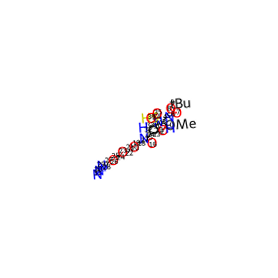 COC(=O)C(CNC(=O)OC(C)(C)C)N(c1ccc(C(=O)NCCOCCOCCOCCN=[N+]=[N-])cc1)[SH](=O)=O